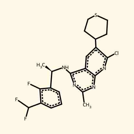 Cc1nc(N[C@H](C)c2cccc(C(F)F)c2F)c2cc(C3CCSCC3)c(Cl)nc2n1